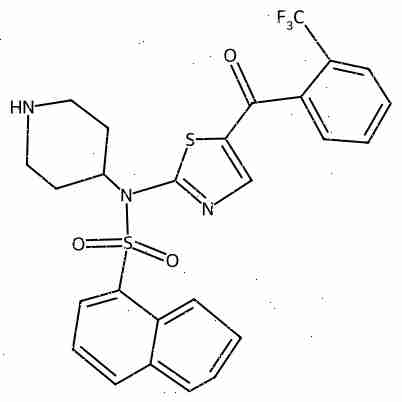 O=C(c1cnc(N(C2CCNCC2)S(=O)(=O)c2cccc3ccccc23)s1)c1ccccc1C(F)(F)F